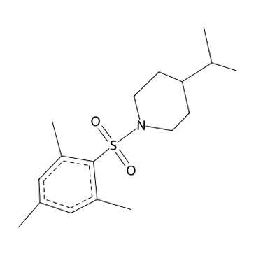 Cc1cc(C)c(S(=O)(=O)N2CCC(C(C)C)CC2)c(C)c1